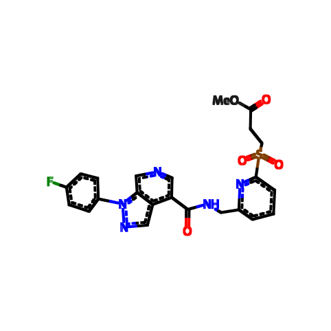 COC(=O)CCS(=O)(=O)c1cccc(CNC(=O)c2cncc3c2cnn3-c2ccc(F)cc2)n1